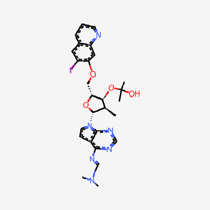 C[C@@H]1[C@H](OC(C)(C)O)[C@@H](COc2cc3ncccc3cc2I)O[C@H]1n1ccc2c(/N=C/N(C)C)ncnc21